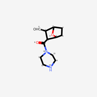 O=CC1C2CCC(O2)C1C(=O)N1CCNCC1